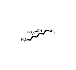 NCCCCCCN.O=C(O)O